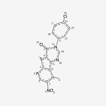 Cc1c([N+](=O)[O-])cnc2sc3c(=O)n(-c4ccc(Cl)cc4)cnc3c12